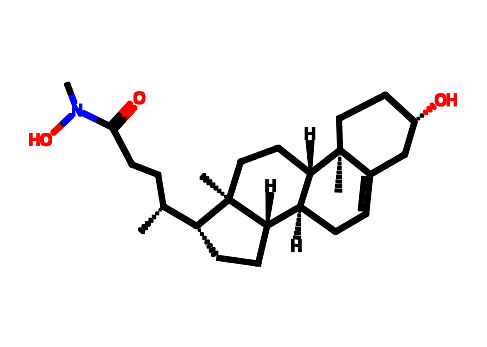 C[C@H](CCC(=O)N(C)O)[C@H]1CC[C@H]2[C@@H]3CC=C4C[C@@H](O)CC[C@]4(C)[C@H]3CC[C@]12C